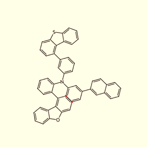 c1cc(-c2ccc3ccccc3c2)cc(N(c2cccc(-c3cccc4sc5ccccc5c34)c2)c2ccccc2-c2cccc3oc4ccccc4c23)c1